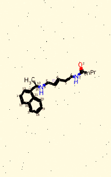 CCCC(=O)NCC/C=C/CN[C@H](C)c1cccc2ccccc12